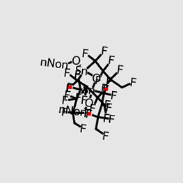 CCCCCCCCC[O][Sn]([O][Sn]([O]CCCCCCCCC)([C](F)(F)C(F)(F)C(F)(F)CF)[C](F)(F)C(F)(F)C(F)(F)CF)([C](F)(F)C(F)(F)C(F)(F)CF)[C](F)(F)C(F)(F)C(F)(F)CF